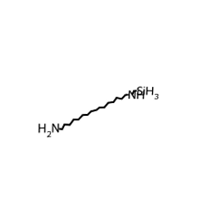 NCCCCCCCCCCCCCCCCNC[SiH3]